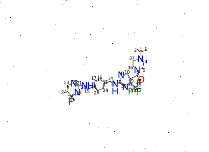 CC(C)N1CCN(C(=O)c2cnc(NCc3ccc(CNc4nccc(F)n4)cc3)nc2C(F)(F)F)CC1